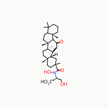 CC1(C(=O)N(O)[C@@H](CO)C(=O)O)CC[C@]2(C)CC[C@]3(C)C(=CC(=O)C4[C@@]5(C)CCCC(C)(C)C5CC[C@]43C)[C@@H]2C1